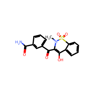 CN1C(C(=O)c2cccc(C(N)=O)c2)=C(O)c2ccccc2S1(=O)=O